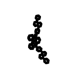 c1ccc(-c2cccc3c(-c4ccc(N5c6ccccc6B6c7ccccc7N(c7ccc(-c8cccc9c(-c%10ccccc%10)cccc89)cc7)c7cccc5c76)cc4)cccc23)cc1